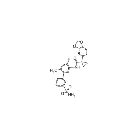 Cc1cc(F)c(NC(=O)C2(c3ccc4c(c3)OCO4)CC2)cc1-c1cccc(S(N)(=O)=O)c1